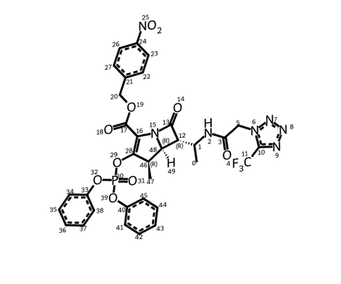 CC(NC(=O)Cn1nnnc1C(F)(F)F)[C@H]1C(=O)N2C(C(=O)OCc3ccc([N+](=O)[O-])cc3)=C(OP(=O)(Oc3ccccc3)Oc3ccccc3)[C@H](C)[C@H]12